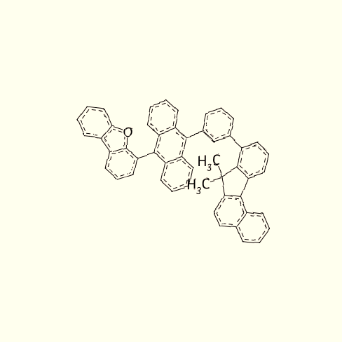 CC1(C)c2ccc3ccccc3c2-c2cccc(-c3cccc(-c4c5ccccc5c(-c5cccc6c5oc5ccccc56)c5ccccc45)c3)c21